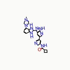 CN1CCN(c2cccc3c2NC(c2n[nH]c4ncc(-c5cncc(NC(=O)C6CCC6)c5)cc24)N3)CC1